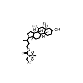 CC[C@H]1[C@@H](O)[C@@H]2[C@H](CC[C@]3(C)[C@@H]([C@H](C)CCOC(=O)N(CC(C)=O)S(C)(=O)=O)CC[C@@H]23)[C@@]2(C)CC[C@@H](O)C[C@@H]12